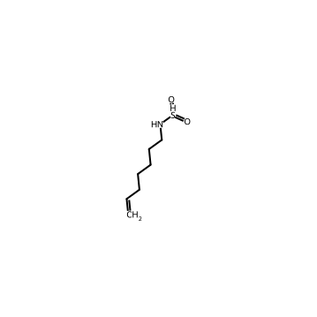 C=CCCCCCN[SH](=O)=O